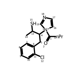 CCCC(=O)[N+]1(C(Cc2ccccc2Cl)C(C)S)[C]=CN=C1